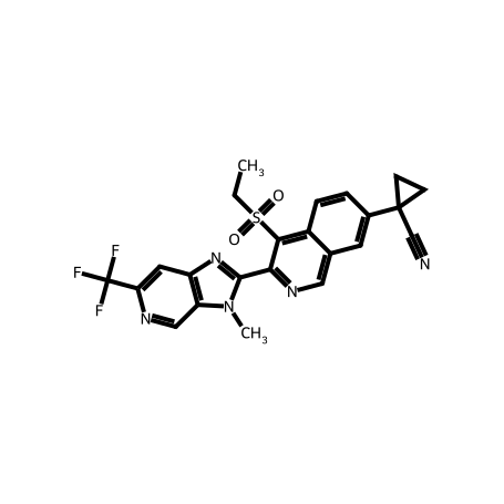 CCS(=O)(=O)c1c(-c2nc3cc(C(F)(F)F)ncc3n2C)ncc2cc(C3(C#N)CC3)ccc12